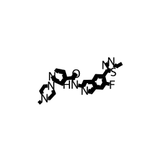 Cc1nnc(-c2cc3cc(NC(=O)c4ccnc(N5CCN(C)CC5)c4)ncc3cc2F)s1